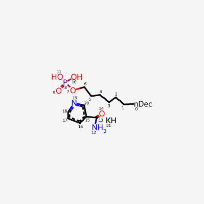 CCCCCCCCCCCCCCCCOP(=O)(O)O.NC(=O)c1cccnc1.[KH]